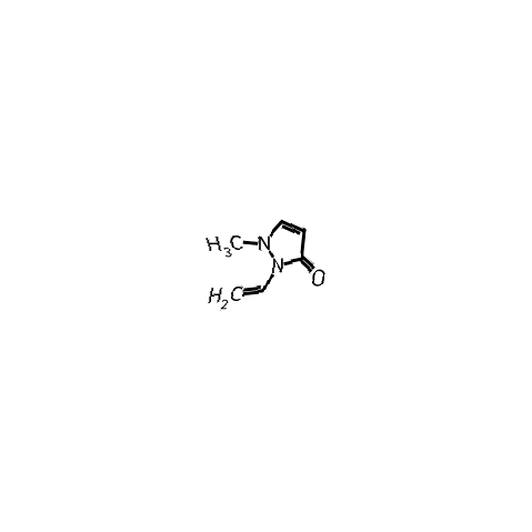 C=Cn1c(=O)ccn1C